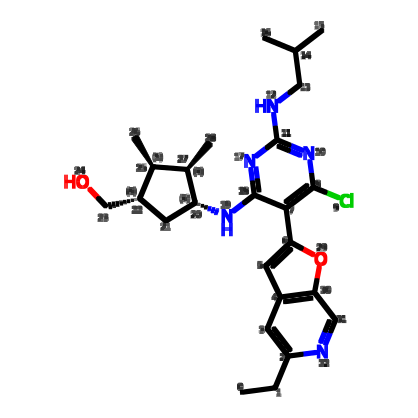 CCc1cc2cc(-c3c(Cl)nc(NCC(C)C)nc3N[C@@H]3C[C@H](CO)[C@@H](C)[C@H]3C)oc2cn1